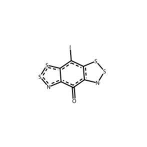 O=c1c2nssc-2c(I)c2c1[N]SS2